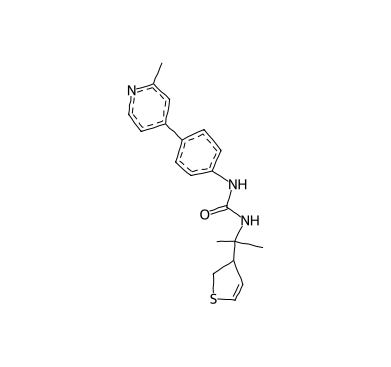 Cc1cc(-c2ccc(NC(=O)NC(C)(C)C3C=CSC3)cc2)ccn1